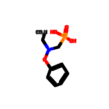 O=C(O)CN(CP(=O)(O)O)Oc1ccccc1